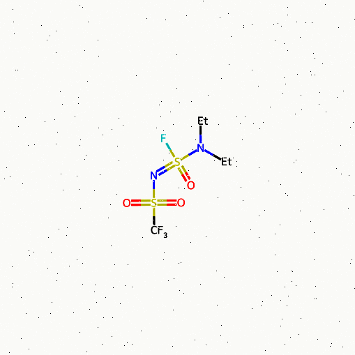 CCN(CC)S(=O)(F)=NS(=O)(=O)C(F)(F)F